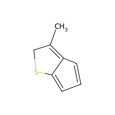 CC1=C2C=CC=C2SC1